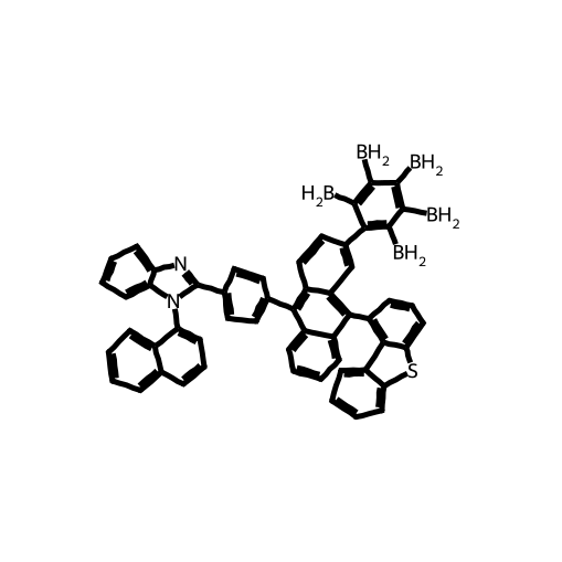 Bc1c(B)c(B)c(-c2ccc3c(-c4ccc(-c5nc6ccccc6n5-c5cccc6ccccc56)cc4)c4ccccc4c(-c4cccc5sc6ccccc6c45)c3c2)c(B)c1B